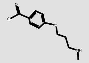 CNCCCOc1ccc(C(=O)Cl)cc1